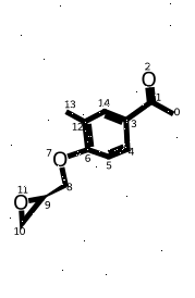 CC(=O)c1ccc(OC[C@H]2CO2)c(C)c1